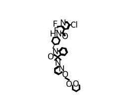 O=C(N[C@H]1CC[C@H](CN2C(=O)C3(CN(c4cccc(OCCOC5CCCCO5)n4)C3)c3ccccc32)CC1)c1cc(Cl)cnc1C(F)F